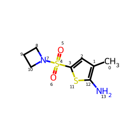 Cc1cc(S(=O)(=O)N2CCC2)sc1N